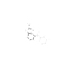 Nc1nc2ccc(Br)c(NC3CCCCC3)n2n1